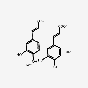 O=C([O-])/C=C/c1ccc(O)c(O)c1.O=C([O-])/C=C/c1ccc(O)c(O)c1.[Na+].[Na+]